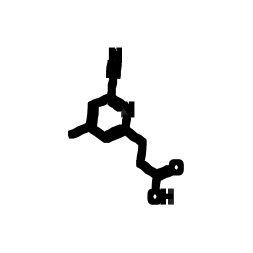 Cc1cc(C#N)nc(CCC(=O)O)c1